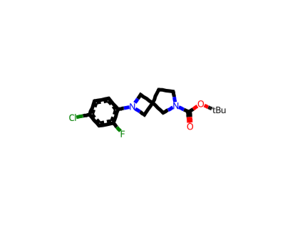 CC(C)(C)OC(=O)N1CCC2(C1)CN(c1ccc(Cl)cc1F)C2